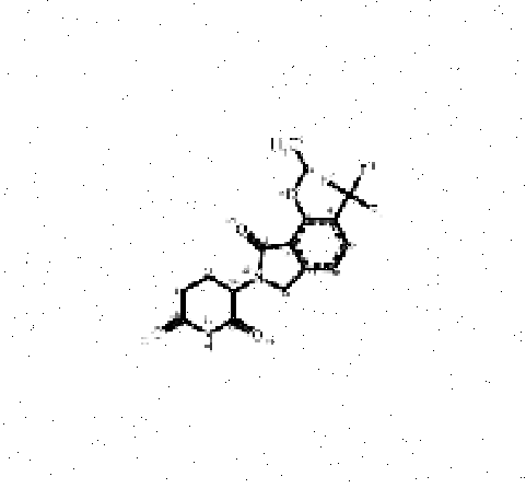 CCOc1c(C(F)(F)F)ccc2c1C(=O)N(C1CCC(=O)NC1=O)C2